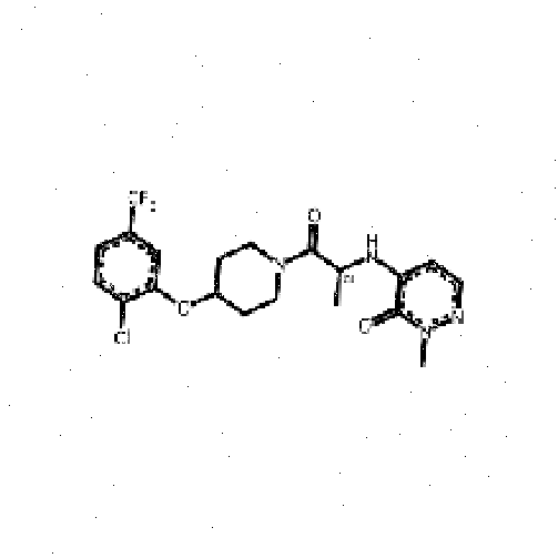 C[C@H](Nc1ccnn(C)c1=O)C(=O)N1CCC(Oc2cc(C(F)(F)F)ccc2Cl)CC1